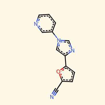 N#Cc1ccc(-c2cn(-c3cccnc3)cn2)o1